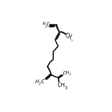 C=CC(C)=CCCCCC(=C)C(=C)C